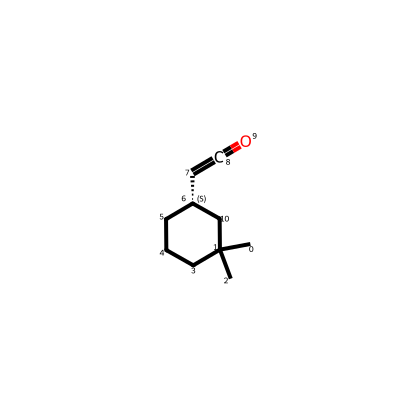 CC1(C)CCC[C@H](C=C=O)C1